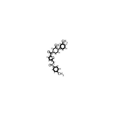 Cc1ccc([S+]([O-])Cc2ccc(C(=O)N3CCN(c4cccc(C)c4)C(C)C3)o2)cc1